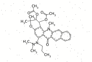 CCCN(c1cc2c(c3c1c(=O)c1cc4ccccc4cc1n3C)C(OC(C)=O)C(OC(C)=O)C(C)(C)O2)N(C)C